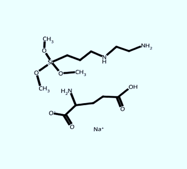 CO[Si](CCCNCCN)(OC)OC.NC(CCC(=O)O)C(=O)[O-].[Na+]